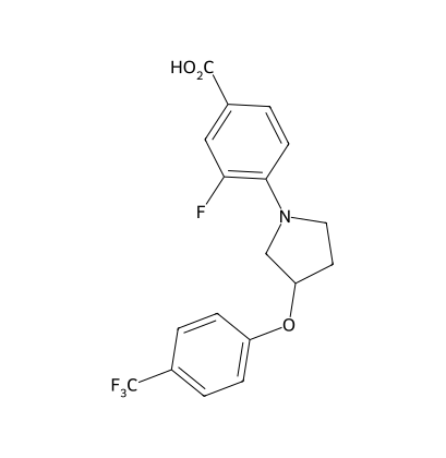 O=C(O)c1ccc(N2CCC(Oc3ccc(C(F)(F)F)cc3)C2)c(F)c1